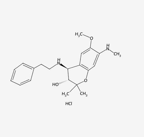 CNc1cc2c(cc1OC)[C@H](NCCc1ccccc1)[C@@H](O)C(C)(C)O2.Cl